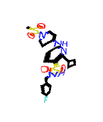 CS(=O)(=O)N1CCC(Nc2ccc(S(=O)(=O)NCc3ccc(F)cc3)c(C3CCC3)n2)CC1